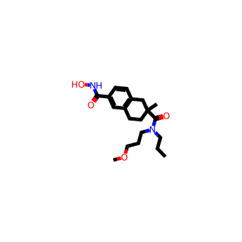 CCCN(CCCOC)C(=O)C1(C)CCc2cc(C(=O)NO)ccc2C1